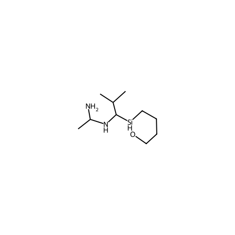 CC(N)NC(C(C)C)[SiH]1CCCCO1